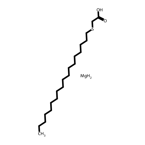 CCCCCCCCCCCCCCCCCCSCC(=O)O.[MgH2]